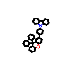 c1ccc(C2(c3ccccc3)c3ccccc3Oc3ccc(-c4ccc(-n5c6ccccc6c6ccccc65)cc4)cc32)cc1